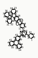 c1ccc(-c2nc(-c3ccc4c(c3)Oc3cc5c(cc3O4)-c3ccccc3C5(c3ccccc3)c3ccccc3)nc(-c3ccc4c5ccccc5c5ccccc5c4c3)n2)cc1